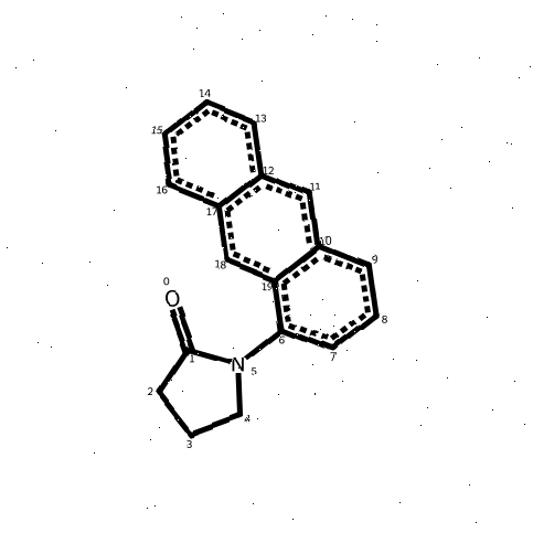 O=C1CCCN1c1cccc2cc3ccccc3cc12